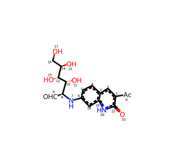 CC(=O)c1cc2ccc(N[C@@H](C=O)[C@@H](O)[C@H](O)[C@H](O)CO)cc2[nH]c1=O